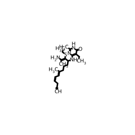 C#CC/C=C\C=C(/C)CCCC(Nc1nc(C)[nH]c(=O)c1CC)/C(SCC)=C(\C)N